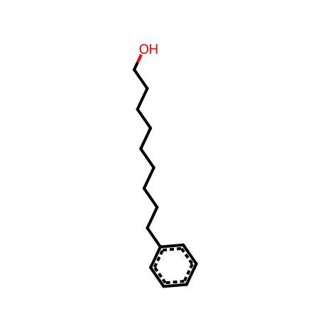 OCCCCCCCCCc1ccccc1